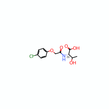 CC(O)[C@H](NC(=O)COc1ccc(Cl)cc1)C(=O)O